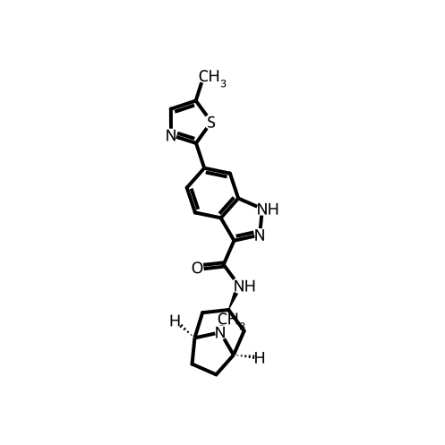 Cc1cnc(-c2ccc3c(C(=O)N[C@H]4C[C@H]5CC[C@@H](C4)N5C)n[nH]c3c2)s1